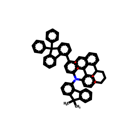 CC1(C)c2ccccc2-c2c(N(c3ccc(-c4cccc5c4-c4ccccc4C5(c4ccccc4)c4ccccc4)cc3)c3ccccc3-c3cccc4cccc(C5CCCCC5)c34)cccc21